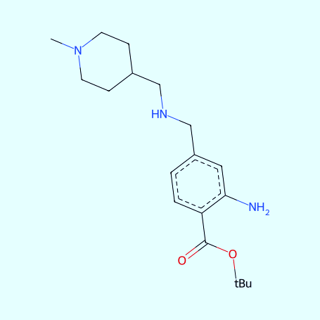 CN1CCC(CNCc2ccc(C(=O)OC(C)(C)C)c(N)c2)CC1